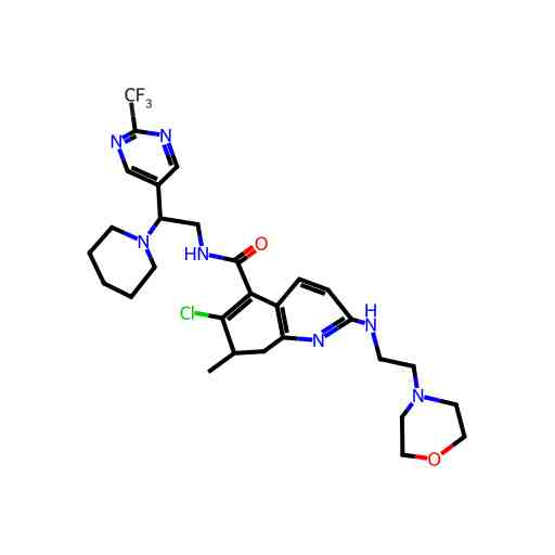 CC1Cc2nc(NCCN3CCOCC3)ccc2C(C(=O)NCC(c2cnc(C(F)(F)F)nc2)N2CCCCC2)=C1Cl